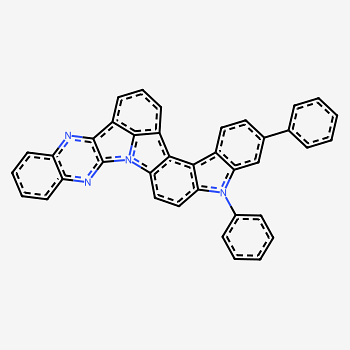 c1ccc(-c2ccc3c4c5c6cccc7c8nc9ccccc9nc8n(c5ccc4n(-c4ccccc4)c3c2)c76)cc1